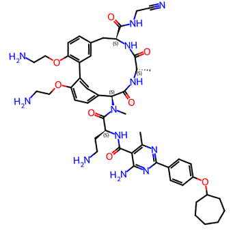 Cc1nc(-c2ccc(OC3CCCCCC3)cc2)nc(N)c1C(=O)N[C@@H](CCN)C(=O)N(C)[C@@H]1C(=O)N[C@@H](C)C(=O)N[C@H](C(=O)NCC#N)Cc2ccc(OCCN)c(c2)-c2cc1ccc2OCCN